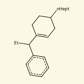 CCCCCCCC1CC=C(C(CC)c2ccccc2)CC1